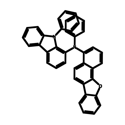 c1ccc(N(c2cccc3c2ccc2c4ccccc4oc32)c2cccc3c4ccccc4n(-c4ccccc4)c23)cc1